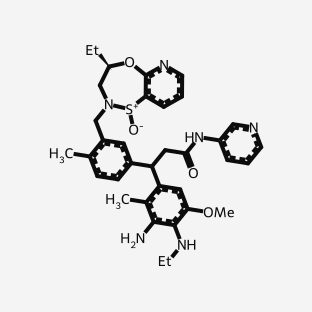 CCNc1c(OC)cc(C(CC(=O)Nc2cccnc2)c2ccc(C)c(CN3C[C@@H](CC)Oc4ncccc4[S+]3[O-])c2)c(C)c1N